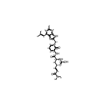 CC(C)=Cc1nc(C)nc2[nH]c(Cn3cccc(NC(=O)C(CC/C=C/C(=O)N(C)C)NC(=O)O)c3=O)nc12